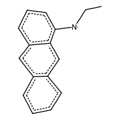 CC[N]c1cccc2cc3ccccc3cc12